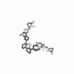 Cn1cc(CNC[C@H]2CCC(=O)N2)c2ccc(-c3cccc(-c4cccc(-c5ccn6c(=O)c(CNC[C@H]7CCC(=O)N7)cnc6c5)c4Cl)c3Cl)cc21